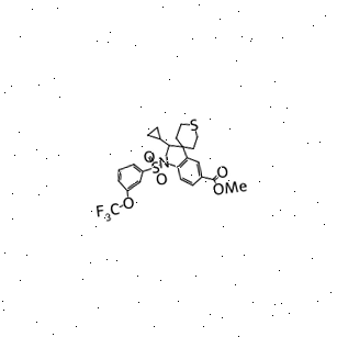 COC(=O)c1ccc2c(c1)C1(CCSCC1)C(C1CC1)N2S(=O)(=O)c1cccc(OC(F)(F)F)c1